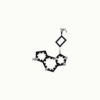 N[C@H]1C[C@H](c2nnc3cnc4[nH]ccc4n32)C1